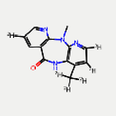 [2H]c1cnc2c(c1)C(=O)Nc1c(nc([2H])c([2H])c1C([2H])([2H])[2H])N2C